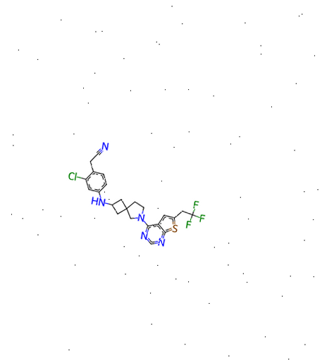 N#CCc1ccc(NC2CC3(CCN(c4ncnc5sc(CC(F)(F)F)cc45)C3)C2)cc1Cl